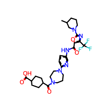 CC1CCCN(c2nc(C(F)(F)F)c(C(=O)Nc3ccc(N4CCCN(C(=O)C5CCC(C(=O)O)CC5)CC4)nc3)o2)C1